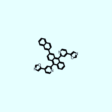 c1ccc2cc(-c3ccc4c(-c5cc(-c6cnco6)ccn5)c5ccccc5c(-c5cc(-c6cnco6)ccn5)c4c3)ccc2c1